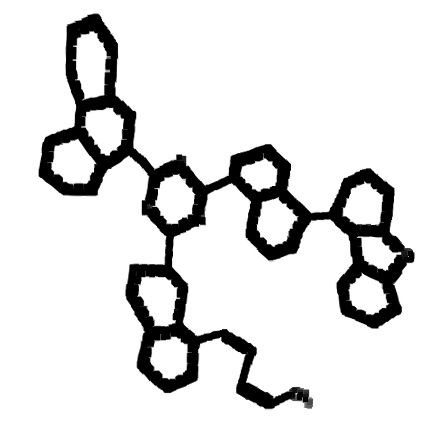 C/C=C\C=C/c1cccc2ccc(-c3nc(-c4cccc5c(-c6cccc7oc8ccccc8c67)cccc45)nc(-c4cc5ccccc5c5ccccc45)n3)cc12